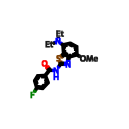 CCN(CC)c1ccc(OC)c2nc(NC(=O)c3ccc(F)cc3)sc12